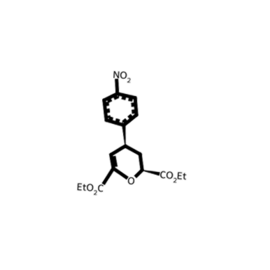 CCOC(=O)C1=C[C@@H](c2ccc([N+](=O)[O-])cc2)C[C@@H](C(=O)OCC)O1